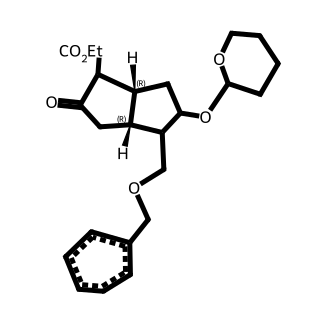 CCOC(=O)C1C(=O)C[C@H]2C(COCc3ccccc3)C(OC3CCCCO3)C[C@@H]12